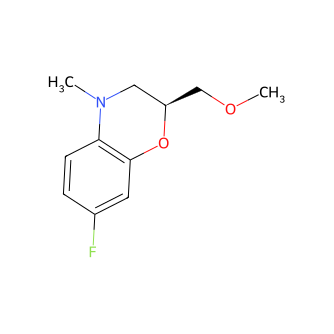 COC[C@@H]1CN(C)c2ccc(F)cc2O1